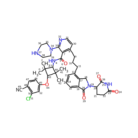 CC1(C)C(NC(=O)c2c(CCCc3cccc4c3CN(C3CCC(=O)NC3=O)C4=O)ccnc2N2CCNCC2)C(C)(C)C1Oc1ccc(C#N)c(Cl)c1